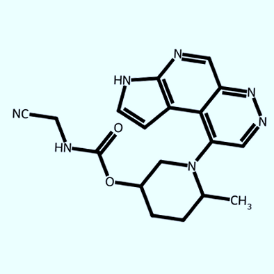 CC1CCC(OC(=O)NCC#N)CN1c1cnnc2cnc3[nH]ccc3c12